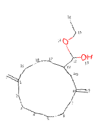 C=C1CCCCCCC(=C)CC(C(O)OCC)CCC1